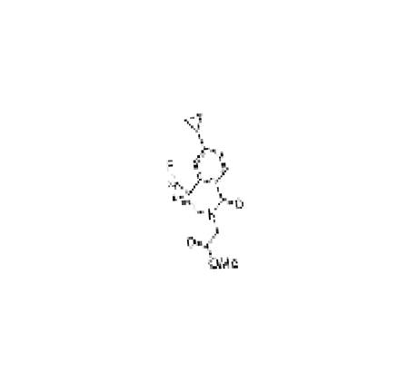 COC(=O)CN1C[C@@]2(C[C@@H]2F)c2cc(C3CC3)ccc2C1=O